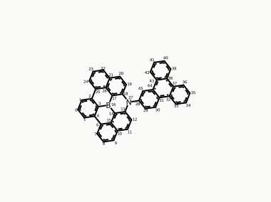 c1cc2c3c(c1)-c1cccc4ccc5c(c14)B3c1c(ccc3cccc-2c13)N5c1ccc2c3ccccc3c3ccccc3c2c1